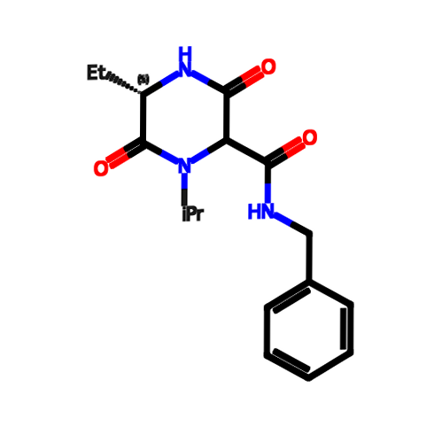 CC[C@@H]1NC(=O)C(C(=O)NCc2ccccc2)N(C(C)C)C1=O